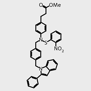 COC(=O)CCc1ccc(N(Cc2ccc(Cn3c(-c4ccccc4)cc4ccccc43)cc2)Sc2ccccc2[N+](=O)[O-])cc1